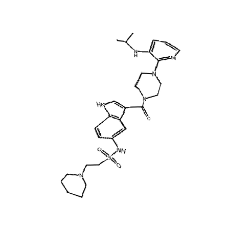 CC(C)Nc1cccnc1N1CCN(C(=O)c2c[nH]c3ccc(NS(=O)(=O)CCN4CCCCC4)cc23)CC1